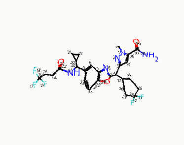 Cn1nc(C(c2nc3cc(C(NC(=O)CCC(F)(F)F)C4CC4)ccc3o2)C2CCC(F)(F)CC2)cc1C(N)=O